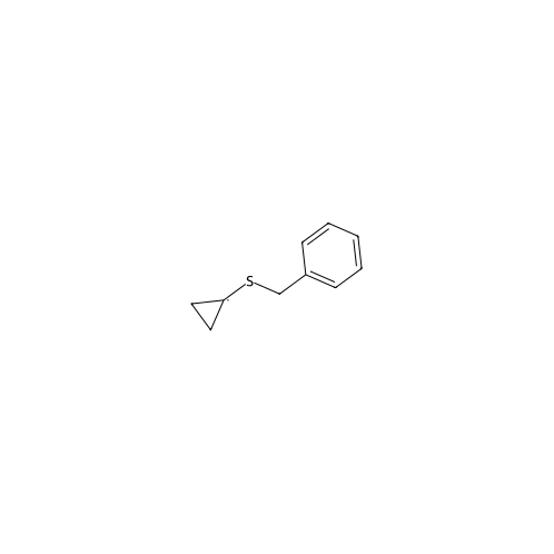 c1ccc(CS[C]2CC2)cc1